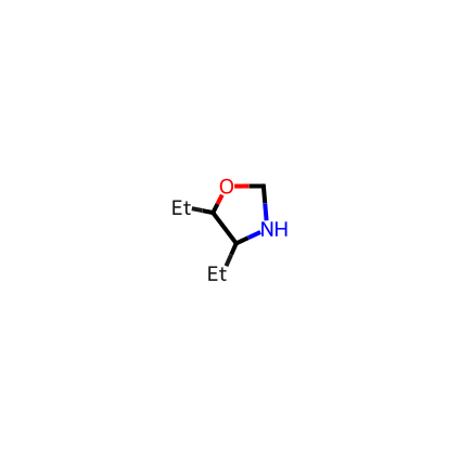 CCC1NCOC1CC